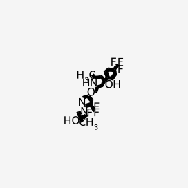 CC1CC(O)(c2ccc(C(F)(F)F)cc2)CC(COc2cnc(N3CC(C)(O)C3)c(C(F)(F)F)c2)N1